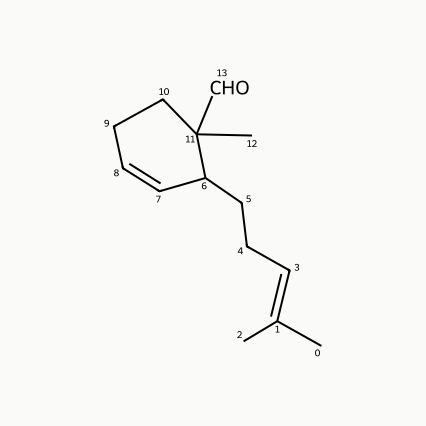 CC(C)=CCCC1C=CCCC1(C)C=O